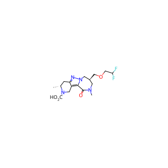 C[C@@H]1Cc2nn3c(c2CN1C(=O)O)C(=O)N(C)C[C@H](COCC(F)F)C3